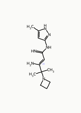 Cc1cc(NC(=N)/C=C(\N)C(C)(C)N2CCC2)n[nH]1